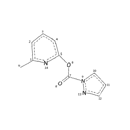 Cc1cccc(OC(=O)n2cccn2)n1